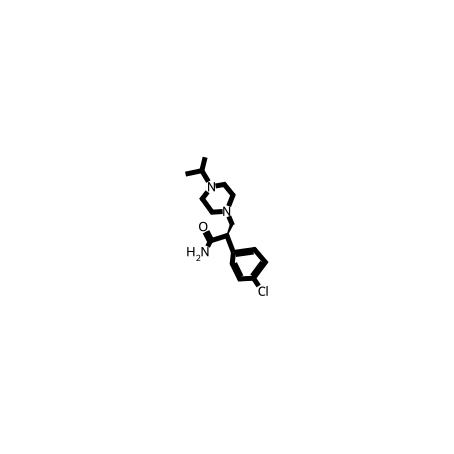 CC(C)N1CCN(C[C@H](C(N)=O)c2ccc(Cl)cc2)CC1